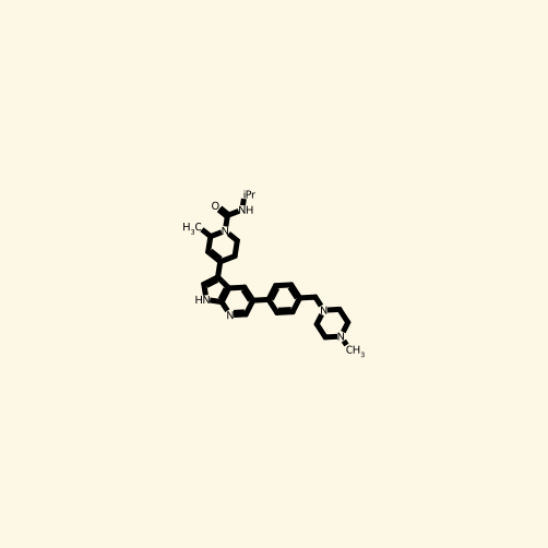 CC(C)NC(=O)N1CCC(c2c[nH]c3ncc(-c4ccc(CN5CCN(C)CC5)cc4)cc23)=CC1C